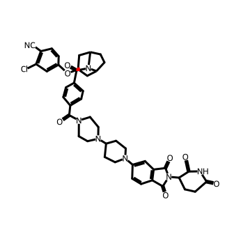 N#Cc1ccc(OC2CC3CCC(C2)N3C(=O)c2ccc(C(=O)N3CCN(C4CCN(c5ccc6c(c5)C(=O)N(C5CCC(=O)NC5=O)C6=O)CC4)CC3)cc2)cc1Cl